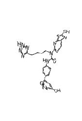 O=C(Nc1ccc(-c2cc(O)no2)cc1)N(CCCCc1nn[nH]n1)c1ccc2nc(S)sc2n1